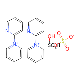 O=S(=O)(O)O.O=S(=O)([O-])[O-].c1cc[n+](-c2ccccn2)cc1.c1cc[n+](-c2ccccn2)cc1